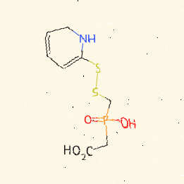 O=C(O)CP(=O)(O)CSSC1=CC=CCN1